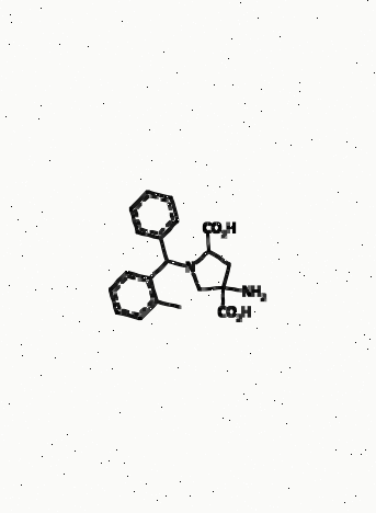 Cc1ccccc1C(c1ccccc1)N1CC(N)(C(=O)O)CC1C(=O)O